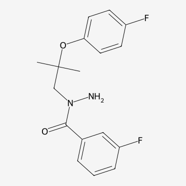 CC(C)(CN(N)C(=O)c1cccc(F)c1)Oc1ccc(F)cc1